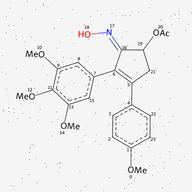 COc1ccc(C2=C(c3cc(OC)c(OC)c(OC)c3)/C(=N\O)C(OC(C)=O)C2)cc1